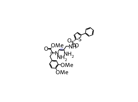 COC(=O)[C@H](Cc1ccc(OC)c(OC)c1)N(N)/C=C(\N)CNS(=O)(=O)c1ccc(-c2ccccc2)s1